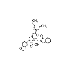 CCCON(CCC)C(=O)CN1C[C@H](c2ccc3c(c2)CCO3)[C@@H](C(=O)O)[C@@H]1CCN1Cc2ccccc2C1=O